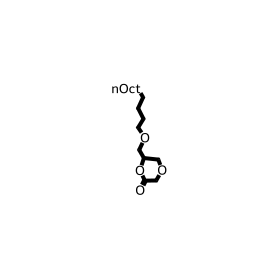 CCCCCCCCCCCCOCC1COCC(=O)O1